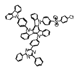 N#Cc1ccc(S(=O)(=O)c2ccc(-n3c4ccccc4c4c5c(c6ccccc6n5-c5ccc(-n6c7ccccc7c7ccccc76)cc5)c5c(c6ccccc6n5-c5ccc(-c6nc(-c7ccccc7)nc(-c7ccccc7)n6)cc5)c43)cc2)cc1